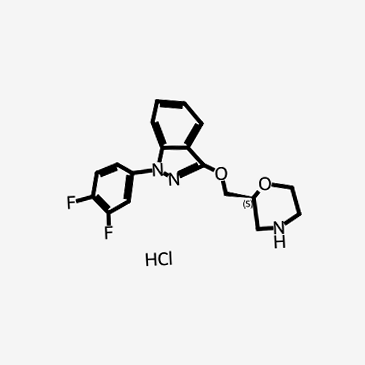 Cl.Fc1ccc(-n2nc(OC[C@@H]3CNCCO3)c3ccccc32)cc1F